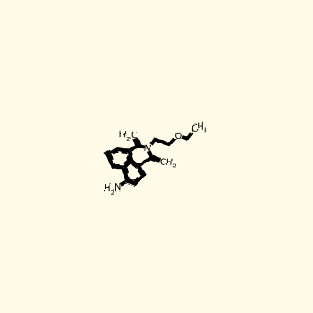 C=C1c2cccc3c(N)ccc(c23)C(=C)N1CCOCC